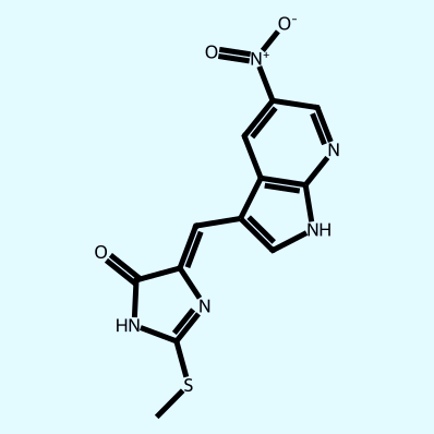 CSC1=NC(=Cc2c[nH]c3ncc([N+](=O)[O-])cc23)C(=O)N1